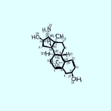 C[C@]12CC[C@H]3[C@@H](CC=C4C[C@H](O)C=C[C@@]43C)[C@@H]1C[C@@H](O)[C@@H]2N